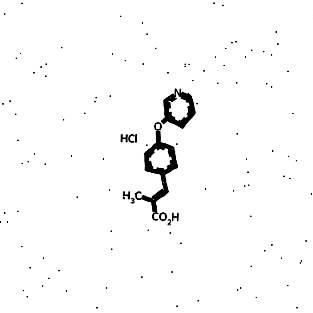 CC(=Cc1ccc(Oc2cccnc2)cc1)C(=O)O.Cl